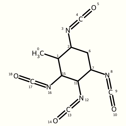 CC1C(N=C=O)CC(N=C=O)C(N=C=O)C1N=C=O